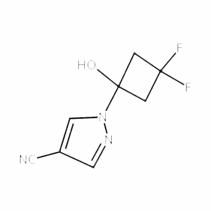 N#Cc1cnn(C2(O)CC(F)(F)C2)c1